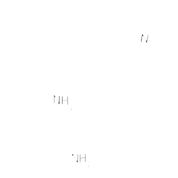 CC(N)(N)c1cccc2ncc3ccccc3c12